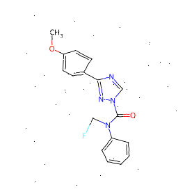 COc1ccc(-c2ncn(C(=O)N(CF)c3ccccc3)n2)cc1